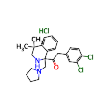 CC1(C)CNC(CN2CCCC2)(C(=O)Cc2ccc(Cl)c(Cl)c2)c2ccccc21.Cl